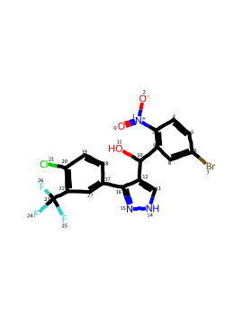 O=[N+]([O-])c1ccc(Br)cc1C(O)c1c[nH]nc1-c1ccc(Cl)c(C(F)(F)F)c1